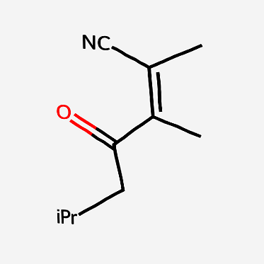 C/C(C#N)=C(\C)C(=O)CC(C)C